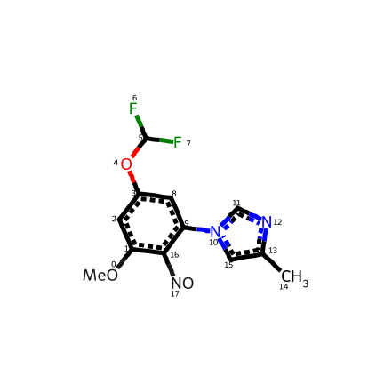 COc1cc(OC(F)F)cc(-n2cnc(C)c2)c1N=O